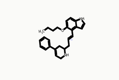 CCCCOc1ccc2[nH]ccc2c1/C=C/CC1CC(c2ccccc2)=CCN1